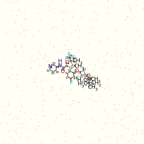 C[C@H]1[C@@H](c2ccc(F)c(F)c2OC2CC(O[Si](C)(C)C(C)(C)C)C2)[C@H](C(=O)Nc2cccnc2)O[C@@]1(C)C(F)(F)F